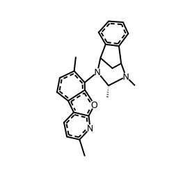 Cc1ccc2c(n1)oc1c(N3C4CC(c5ccccc54)N(C)[C@@H]3C)c(C)ccc12